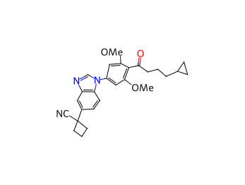 COc1cc(-n2cnc3cc(C4(C#N)CCC4)ccc32)cc(OC)c1C(=O)CCCC1CC1